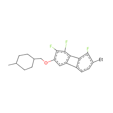 CCc1ccc2c(c1F)-c1c-2cc(OCC2CCC(C)CC2)c(F)c1F